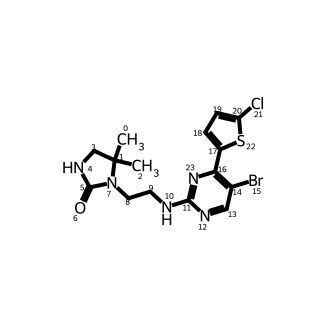 CC1(C)CNC(=O)N1CCNc1ncc(Br)c(-c2ccc(Cl)s2)n1